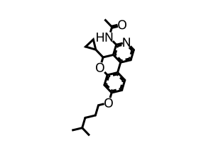 CC(=O)Nc1nccc2c1C(C1CC1)Oc1cc(OCCCC(C)C)ccc1-2